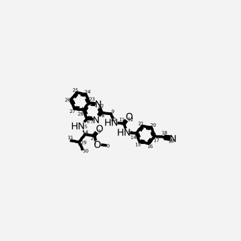 COC(=O)[C@@H](Nc1nc(CNC(=O)Nc2ccc(C#N)cc2)nc2ccccc12)C(C)C